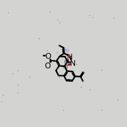 C=C(C)c1ccc2c(c1)[C@]13CCN4C/C(=C/C)C(C[C@H]41)C(C(=O)OC)=C3CC2